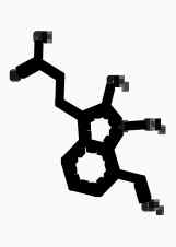 C=Cc1cccc2c(CCC(=O)O)c(C)n(C)c12